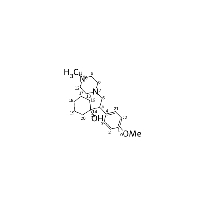 COc1ccc(C(CN2CCN(C)CC2)C2(O)CCCCC2)cc1